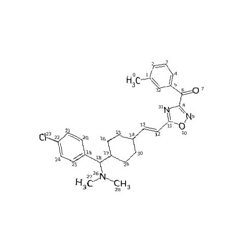 Cc1cccc(C(=O)c2noc(C=CC3CCC(C(c4ccc(Cl)cc4)N(C)C)CC3)n2)c1